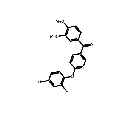 COc1ccc(C(=O)c2ccc(Oc3ccc(Cl)cc3F)nc2)cc1OC